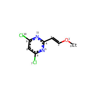 CCO/C=C/c1nc(Cl)cc(Cl)n1